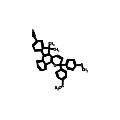 CSc1ccc(C2(c3ccc(SC)cc3)C=Cc3c4c(c5ccccc5c3O2)-c2ccc(C#N)cc2C4(C)C)cc1